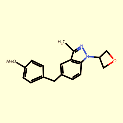 COc1ccc(Cc2ccc3c(c2)c(C)nn3C2COC2)cc1